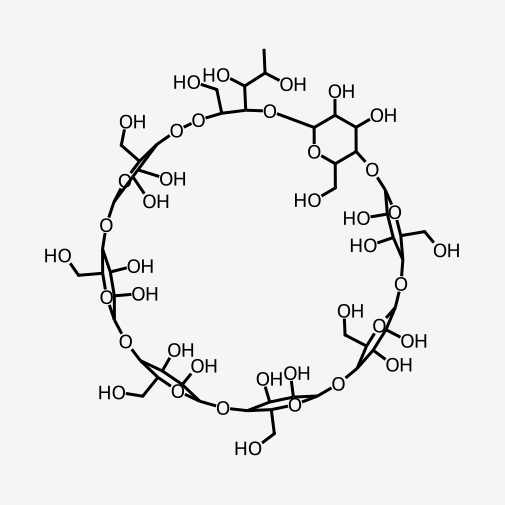 CC(O)C(O)C1OC2OC(CO)C(OC3OC(CO)C(OC4OC(CO)C(OC5OC(CO)C(OC6OC(CO)C(OC7OC(CO)C(OC8OC(CO)C(OOC1CO)C(O)C8O)C(O)C7O)C(O)C6O)C(O)C5O)C(O)C4O)C(O)C3O)C(O)C2O